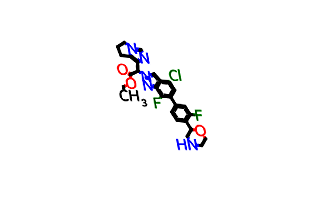 CCOC(=O)C(c1ncn2c1CCC2)n1cc2c(Cl)cc(-c3ccc(C4CNCCO4)c(F)c3)c(F)c2n1